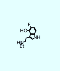 CCNCCc1c[nH]c2ccc(F)c(O)c12